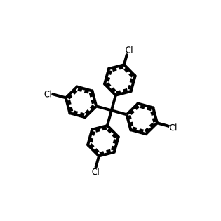 Clc1ccc(C(c2ccc(Cl)cc2)(c2ccc(Cl)cc2)c2ccc(Cl)cc2)cc1